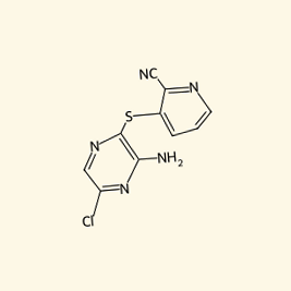 N#Cc1ncccc1Sc1ncc(Cl)nc1N